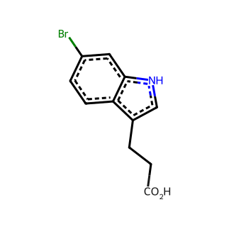 O=C(O)CCc1c[nH]c2cc(Br)ccc12